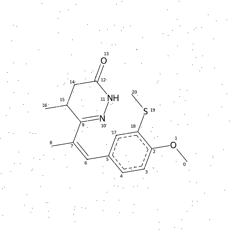 COc1ccc(C=C(C)C2=NNC(=O)CC2C)cc1SC